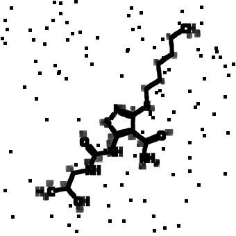 CCCCCCSc1nsc(NC(=O)NCC(C)O)c1C(N)=O